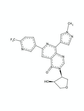 Cn1cc(-c2nc(-c3ccc(C(F)(F)F)nc3)cc3c(=O)n([C@H]4COC[C@H]4O)cnc23)cn1